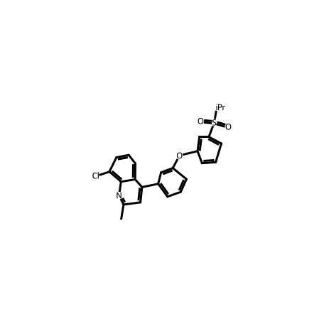 Cc1cc(-c2cccc(Oc3cccc(S(=O)(=O)C(C)C)c3)c2)c2cccc(Cl)c2n1